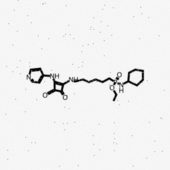 CCOP(=O)(CCCCCCNc1c(Nc2ccncc2)c(=O)c1=O)NC1CCCCC1